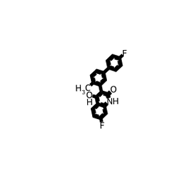 Cc1ccc(-c2ccc(F)cc2)cc1-c1c(O)c2ccc(F)cc2[nH]c1=O